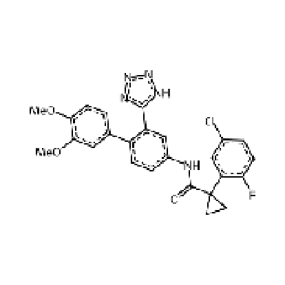 COc1ccc(-c2ccc(NC(=O)C3(c4cc(Cl)ccc4F)CC3)cc2-c2nnn[nH]2)cc1OC